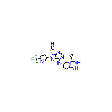 CCn1c(-c2ccc(C(F)(F)F)nc2)nc2c(NC3CCC(=N)N(C(=N)C4CC4)C3)ncnc21